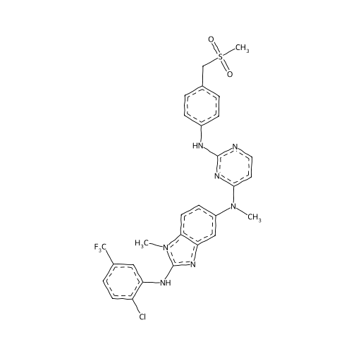 CN(c1ccc2c(c1)nc(Nc1cc(C(F)(F)F)ccc1Cl)n2C)c1ccnc(Nc2ccc(CS(C)(=O)=O)cc2)n1